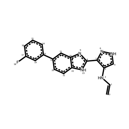 C=CNc1c[nH]nc1-c1nc2cc(-c3cccc(F)c3)ccc2[nH]1